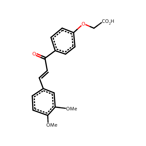 COc1ccc(C=CC(=O)c2ccc(OCC(=O)O)cc2)cc1OC